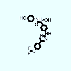 O=C(N[C@H]1CC[C@@H](O)CC1)[C@H](CO)c1ccc(Nc2ncc(-c3ccc(OC(F)F)cc3)cn2)cc1